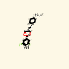 CCCCCCC[C@H]1CC[C@H](CC[C@H]2CO[C@H](c3cc(F)c(C#N)c(F)c3)OC2)CC1